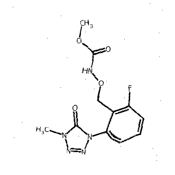 COC(=O)NOCc1c(F)cccc1-n1nnn(C)c1=O